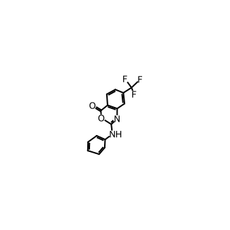 O=c1oc(Nc2ccccc2)nc2cc(C(F)(F)F)ccc12